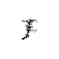 C=CCSc1nsc(SCC2=C(C(=O)O)N3C(=O)C(NC(=O)C(=NOC)c4nsc(N)n4)[C@@H]3SC2)n1